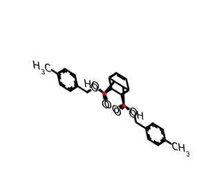 Cc1ccc(COC(=O)C2C3C=CC(C2C(=O)O)C(C(=O)OCc2ccc(C)cc2)C3C(=O)O)cc1